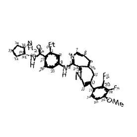 CCc1cc(NC2=NC=CCC3CC(c4ccc(OC)c(F)c4F)=CN=C23)ccc1C(=O)N[C@@H]1CCC[C@@H]1N